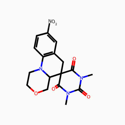 CN1C(=O)N(C)C(=O)C2(Cc3cc([N+](=O)[O-])ccc3N3CCOCC32)C1=O